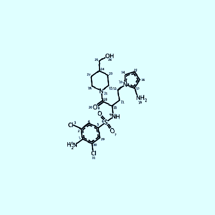 Nc1c(Cl)cc(S(=O)(=O)NC(CCn2cccc2N)C(=O)N2CCC(CO)CC2)cc1Cl